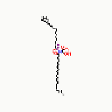 CCCCCCCC/C=C\CCCCCCCC(=O)PN(C(=O)CCCCCCCCCCCCCCCCC)C(CO)C(=O)O